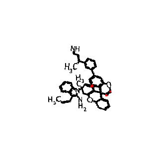 C/C=C\c1c(N)n(C2(C)C=CC3=C(C2)OC2CC=CC=C2C32c3ccccc3Oc3cc(-c4cccc(/C(C)=C/C=N)c4)ccc32)c2ccccc12